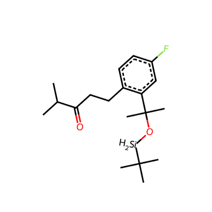 CC(C)C(=O)CCc1ccc(F)cc1C(C)(C)O[SiH2]C(C)(C)C